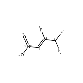 O=[N+]([O-])C=C(F)[C](F)F